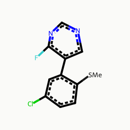 CSc1ccc(Cl)cc1-c1cncnc1F